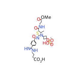 COC(=O)CCNC(=O)C1SC(=NC(=O)c2ccc(C(=N)NCCCC(=O)O)cc2)N(C2CCC2)C1C.COS(=O)(=O)O